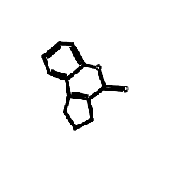 O=c1oc2ccccc2c2c1CCC2